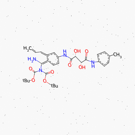 C=C/C=c1/cc(NC(=O)[C@H](O)[C@@H](O)C(=O)Nc2ccc(C)cc2)cc/c1=C(/N)N(C(=O)OC(C)(C)C)C(=O)OC(C)(C)C